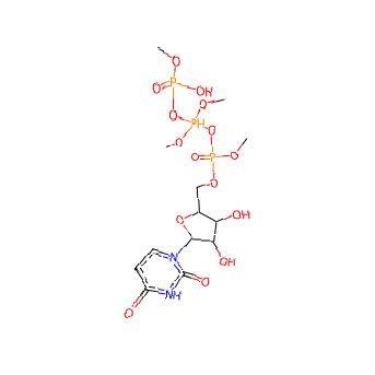 COP(=O)(O)O[PH](OC)(OC)OP(=O)(OC)OCC1OC(n2ccc(=O)[nH]c2=O)C(O)C1O